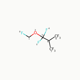 FCOC(F)(F)C(C(F)(F)F)C(F)(F)F